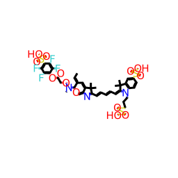 C=C1N=C(/C=C/C=C/C=C2/N(CCCS(=O)(=O)O)c3ccc(S(=O)(=O)O)cc3C2(C)C)C(C)(C)/C1=C/C(=C\C)C(=O)N(C)OCC(=O)Oc1c(F)c(F)c(S(=O)(=O)O)c(F)c1F